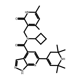 Cc1cc(C)c(CN(C(=O)c2cc(C3=CC(C)(C)NC(C)(C)C3)nc3[nH]ncc23)C2CCC2)c(=O)[nH]1